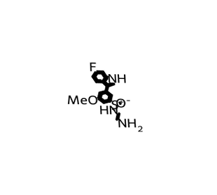 COc1cc(-c2c[nH]c3cc(F)ccc23)cc([S+]([O-])NCCN)c1